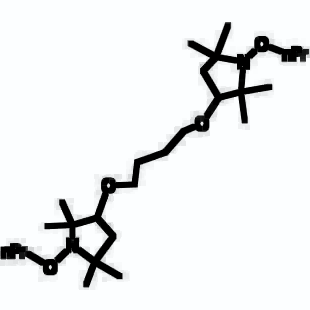 CCCON1C(C)(C)CC(OCCCCOC2CC(C)(C)N(OCCC)C2(C)C)C1(C)C